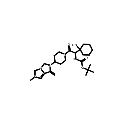 CN1C=C2C(=O)N(C3CCN(C(=O)C(NC(=O)OC(C)(C)C)C4(O)CCCCC4)CC3)CN2C1